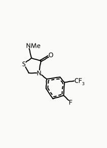 CNC1SCN(c2ccc(F)c(C(F)(F)F)c2)C1=O